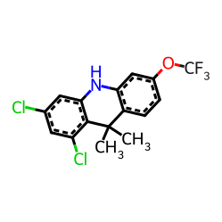 CC1(C)c2ccc(OC(F)(F)F)cc2Nc2cc(Cl)cc(Cl)c21